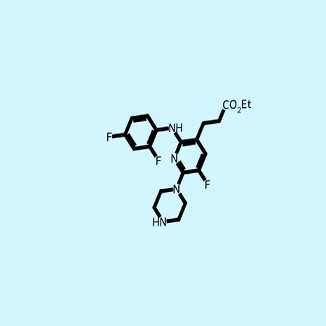 CCOC(=O)CCc1cc(F)c(N2CCNCC2)nc1Nc1ccc(F)cc1F